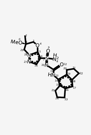 CO[C@@]1(C)COc2c(S(N)(=O)=NC(=O)Nc3c4c(cc5c3CCC5)CCC4)cnn2C1